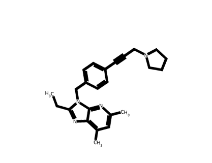 CCc1nc2c(C)cc(C)nc2n1Cc1ccc(C#CCN2CCCC2)cc1